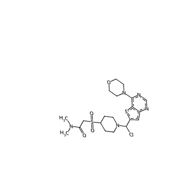 CN(C)C(=O)CS(=O)(=O)C1CCN(C(Cl)c2cc3ncnc(N4CCOCC4)c3s2)CC1